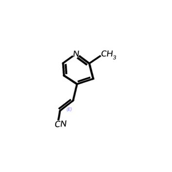 Cc1cc(/C=C/C#N)ccn1